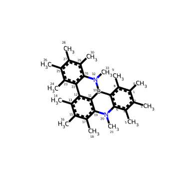 Cc1c(C)c(C)c2c(c1C)B1c3c(c(C)c(C)c(C)c3N2C)-c2c(C)c(C)c(C)c(C)c2N1C